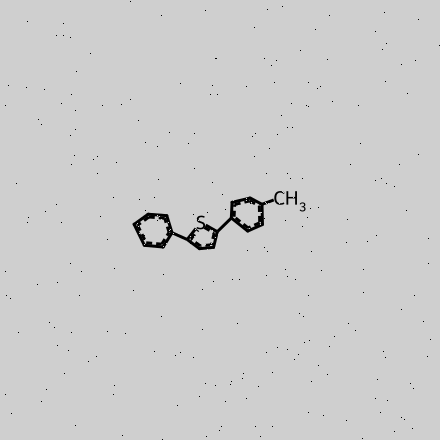 Cc1ccc(-c2ccc(-c3ccccc3)s2)cc1